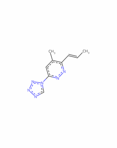 CC=Cc1nnc(-n2cnnn2)cc1C